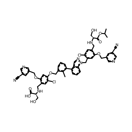 Cc1c(COc2cc(OCc3cncc(C#N)c3)c(CN[C@@H](CO)C(=O)O)cc2Cl)cccc1-c1cccc2c1cnn2Cc1cc(OCc2cncc(C#N)c2)c(CN[C@@H](CO)C(=O)OC(C)C)cc1Cl